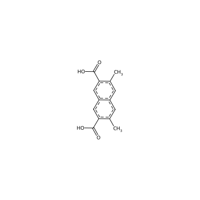 Cc1cc2cc(C)c(C(=O)O)cc2cc1C(=O)O